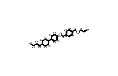 C=CCOCc1ccc(COc2ccc(C3CCC(C=CCC)CC3)cc2)cc1